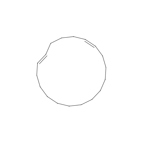 C1=C\CCCCCCCCCCC/C=C/CCC/1